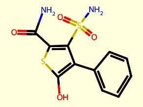 NC(=O)c1sc(O)c(-c2ccccc2)c1S(N)(=O)=O